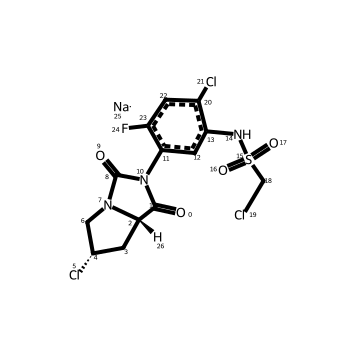 O=C1[C@@H]2C[C@H](Cl)CN2C(=O)N1c1cc(NS(=O)(=O)CCl)c(Cl)cc1F.[Na]